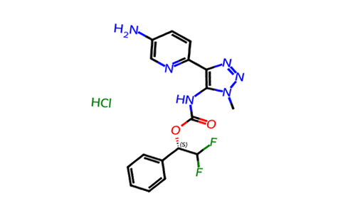 Cl.Cn1nnc(-c2ccc(N)cn2)c1NC(=O)O[C@@H](c1ccccc1)C(F)F